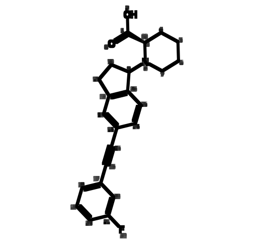 O=C(O)[C@H]1CCCCN1C1CCc2cc(C#Cc3cccc(F)c3)ccc21